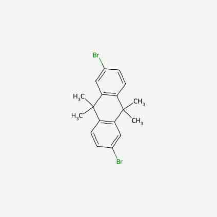 CC1(C)c2ccc(Br)cc2C(C)(C)c2ccc(Br)cc21